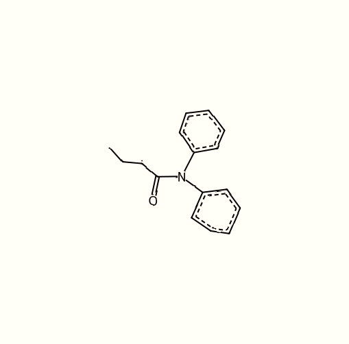 CC[CH]C(=O)N(c1ccccc1)c1ccccc1